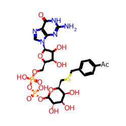 CC(=O)c1ccc(CSC[C@@H]2OC(OP(=O)(O)OP(=O)(O)OC[C@H]3O[C@@H](n4cnc5c(=O)[nH]c(N)nc54)C(O)[C@H]3O)[C@@H](O)[C@H](O)[C@@H]2O)cc1